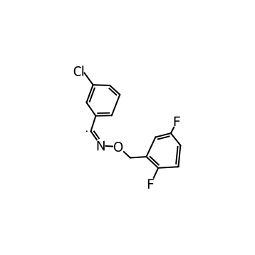 Fc1ccc(F)c(CO/N=[C]\c2cccc(Cl)c2)c1